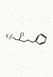 FC(F)(F)CC(Cl)CCCc1ccccc1